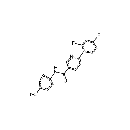 CC(C)(C)c1ccc(NC(=O)c2ccc(-c3ccc(F)cc3F)nc2)cc1